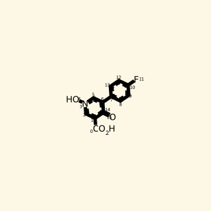 O=C(O)c1cn(O)cc(-c2ccc(F)cc2)c1=O